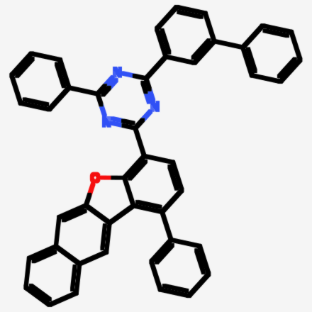 c1ccc(-c2cccc(-c3nc(-c4ccccc4)nc(-c4ccc(-c5ccccc5)c5c4oc4cc6ccccc6cc45)n3)c2)cc1